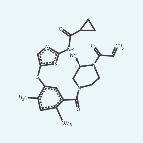 C=CC(=O)N1CCN(C(=O)c2cc(Sc3cnc(NC(=O)C4CC4)s3)c(C)cc2OC)C[C@H]1C#N